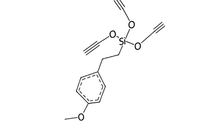 C#CO[Si](CCc1ccc(OC)cc1)(OC#C)OC#C